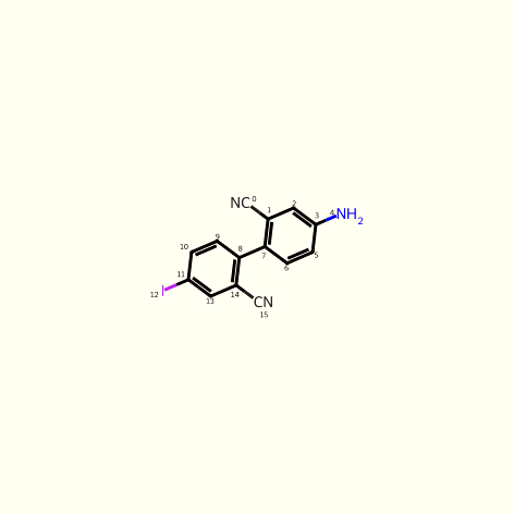 N#Cc1cc(N)ccc1-c1ccc(I)cc1C#N